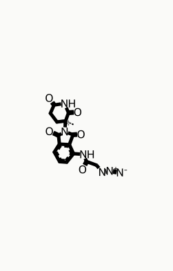 C[C@]1(N2C(=O)c3cccc(NC(=O)CN=[N+]=[N-])c3C2=O)CCC(=O)NC1=O